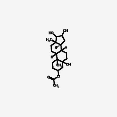 CC(=O)OC1CC[C@]2(C)[C@@H]3CC[C@]4(C)C(O)C(O)C[C@H]4[C@@H]3CCC2(O)C1